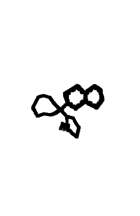 c1ccc2cc(C3(C4CCCN4)CCCCC3)ccc2c1